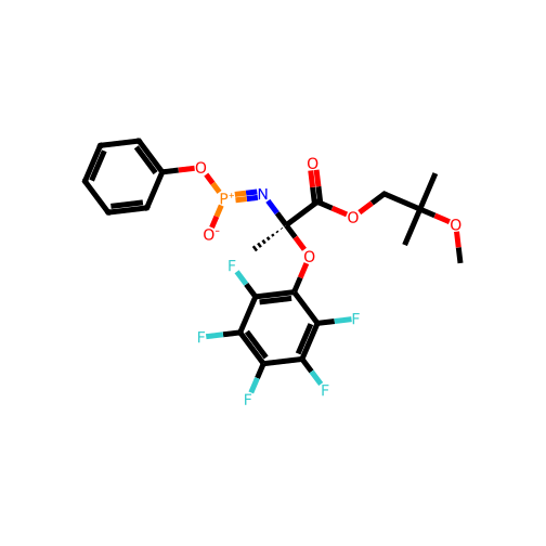 COC(C)(C)COC(=O)[C@](C)(N=[P+]([O-])Oc1ccccc1)Oc1c(F)c(F)c(F)c(F)c1F